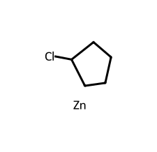 ClC1CCCC1.[Zn]